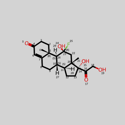 C[C@]12CCC(=O)C=C1CC[C@H]1[C@@H]3CC[C@](O)(C(=O)CO)[C@@]3(C)C[C@@](O)(F)[C@@H]12